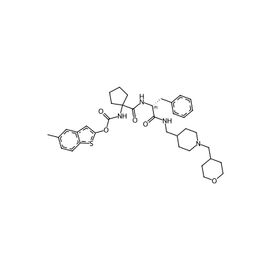 Cc1ccc2sc(OC(=O)NC3(C(=O)N[C@H](Cc4ccccc4)C(=O)NCC4CCN(CC5CCOCC5)CC4)CCCC3)cc2c1